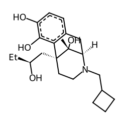 CC[C@H](O)C[C@]12CCN(CC3CCC3)[C@H](Cc3ccc(O)c(O)c31)[C@@]2(C)O